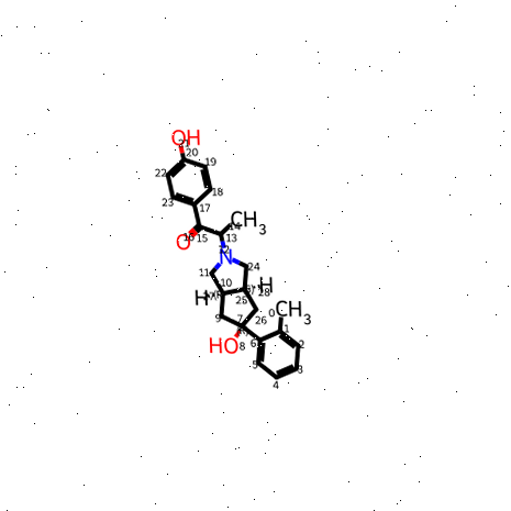 Cc1ccccc1[C@]1(O)C[C@H]2CN(C(C)C(=O)c3ccc(O)cc3)C[C@H]2C1